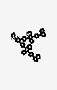 c1ccc(-c2ccc(-c3ccc(-c4c5ccccc5c(-c5ccc(-c6cccc7ccccc67)cc5)c5ccccc45)cc3)c(-c3ccc(-c4c5ccccc5c(-c5ccc(-c6cccc7ccccc67)cc5)c5ccccc45)cc3)n2)nc1